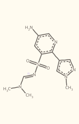 CN(C)/C=N/S(=O)(=O)c1cc(N)cnc1-c1cnn(C)c1